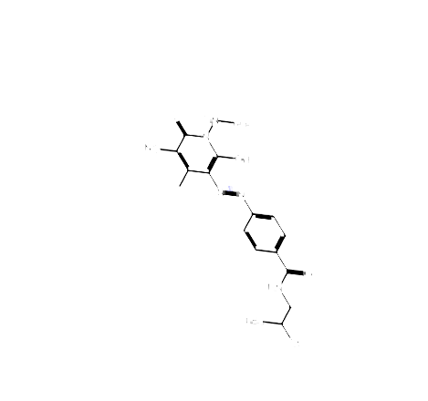 CCCCCCCCNn1c(O)c(/N=N/c2ccc(C(=O)NCC(CC)CCCC)cc2)c(C)c(C#N)c1=O